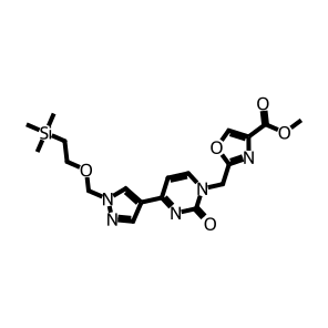 COC(=O)c1coc(Cn2ccc(-c3cnn(COCC[Si](C)(C)C)c3)nc2=O)n1